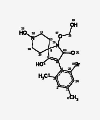 Cc1cc(C)c(C2=C(O)C3(CCN(O)CC3)N(OCO)C2=O)c(Br)c1